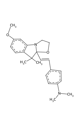 COc1ccc2c(c1)N1CCOC1(C=Cc1ccc(N(C)C)cc1)C2(C)C